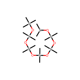 C[Si](C)O[Si](C)(C)O[Si](C)(C)O[Si](C)(C)O[Si](C)(C)O[Si](C)(C)O[Si](C)(C)C